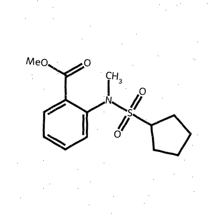 COC(=O)c1ccccc1N(C)S(=O)(=O)C1CCCC1